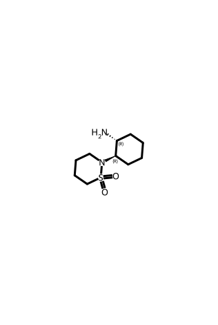 N[C@@H]1CCCC[C@H]1N1CCCCS1(=O)=O